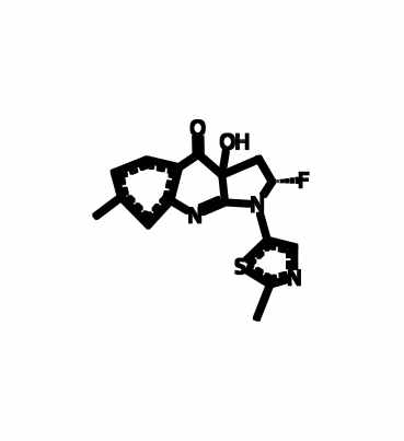 Cc1ccc2c(c1)N=C1N(c3cnc(C)s3)[C@@H](F)CC1(O)C2=O